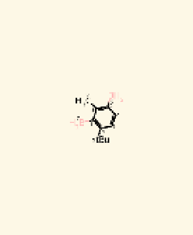 Bc1ccc(C(C)(C)C)c(B)c1C